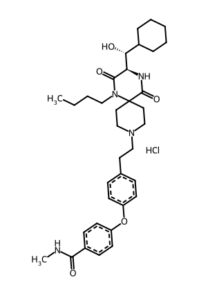 CCCCN1C(=O)[C@@H]([C@H](O)C2CCCCC2)NC(=O)C12CCN(CCc1ccc(Oc3ccc(C(=O)NC)cc3)cc1)CC2.Cl